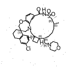 C[C@H]([C@@H]1CCC[C@H](C)[C@@H](C)S(=O)(=O)NC(=O)c2ccc3c(c2)N(C[C@@H]2CC[C@H]21)C[C@@]1(CCCc2cc(Cl)ccc21)CO3)N1CCOCC1